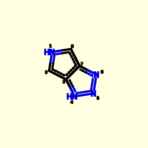 c1[nH]cc2[nH]nnc12